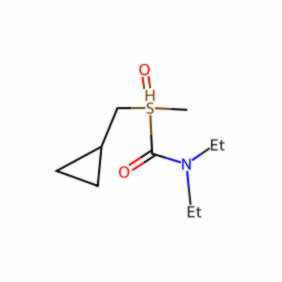 CCN(CC)C(=O)[SH](C)(=O)CC1CC1